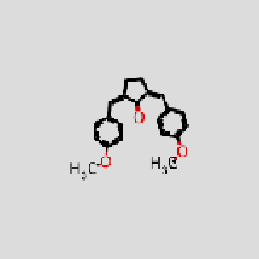 COc1ccc(/C=C2/CC/C(=C/c3ccc(OC)cc3)C2=O)cc1